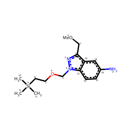 COCc1nn(COCC[Si](C)(C)C)c2ccc(N)cc12